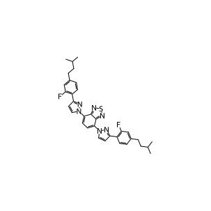 CC(C)CCc1ccc(-c2ccn(-c3ccc(-n4ccc(-c5ccc(CCC(C)C)cc5F)n4)c4nsnc34)n2)c(F)c1